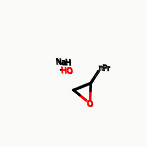 CCCC1CO1.[NaH].[OH]